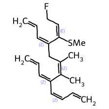 C=C\C=C/C(=C/C=C)C(/C)=C(/C)CC(=C/C=C)/C(=C\CF)SC